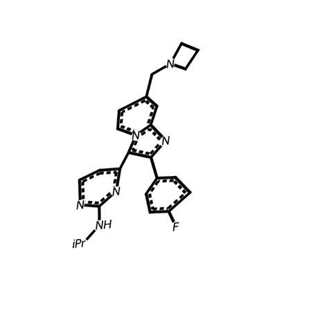 CC(C)Nc1nccc(-c2c(-c3ccc(F)cc3)nc3cc(CN4CCC4)ccn23)n1